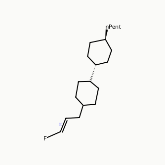 CCCCC[C@H]1CC[C@H](C2CCC(C/C=C/F)CC2)CC1